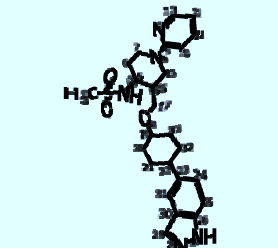 CS(=O)(=O)N[C@H]1CCN(c2ccccn2)C[C@H]1COC1CCC(c2ccc3[nH]ncc3c2)CC1